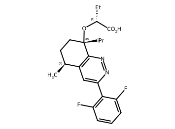 CC[C@@H](O[C@@]1(C(C)C)CC[C@H](C)c2cc(-c3c(F)cccc3F)nnc21)C(=O)O